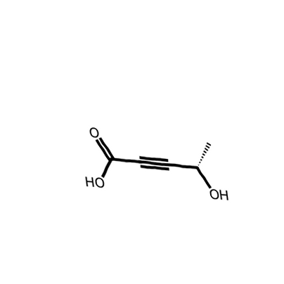 C[C@H](O)C#CC(=O)O